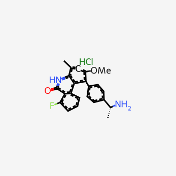 COc1cc(C)c2[nH]c(=O)c3c(F)cccc3c2c1-c1ccc([C@@H](C)N)cc1.Cl